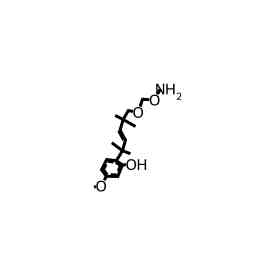 COc1ccc(C(C)(C)/C=C/C(C)(C)COCON)c(O)c1